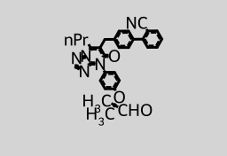 CCCc1c(Cc2ccc(-c3ccccc3C#N)cc2)c(=O)n(-c2ccc(OC(C)(C)C=O)cc2)c2ncnn12